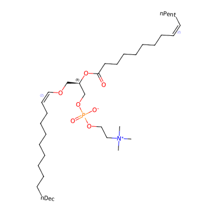 CCCCC/C=C\CCCCCCCC(=O)O[C@H](CO/C=C\CCCCCCCCCCCCCCCCCC)COP(=O)([O-])OCC[N+](C)(C)C